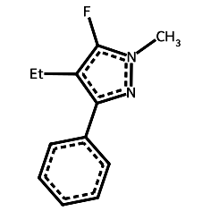 CCc1c(-c2ccccc2)nn(C)c1F